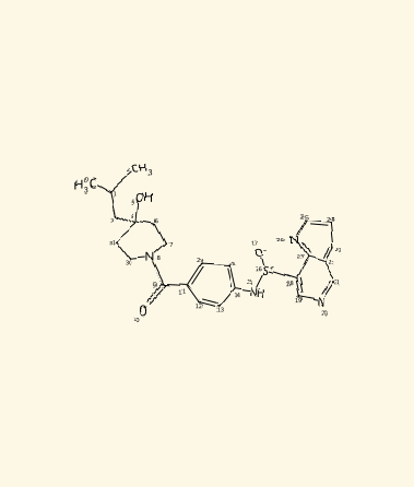 CC(C)CC1(O)CCN(C(=O)c2ccc(N[S+]([O-])c3cncc4cccnc34)cc2)CC1